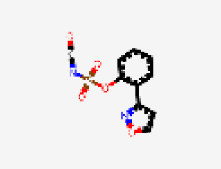 O=C=NS(=O)(=O)Oc1ccccc1-c1ccon1